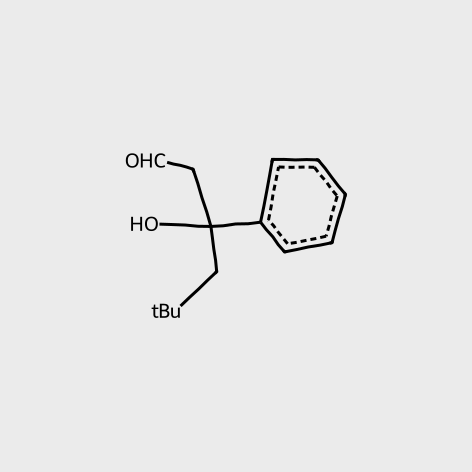 CC(C)(C)CC(O)(CC=O)c1ccccc1